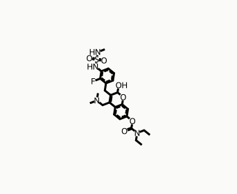 CCN(CC)C(=O)Oc1ccc2c(c1)OC(O)C(Cc1cccc(NS(=O)(=O)NC)c1F)=C2CN(C)C